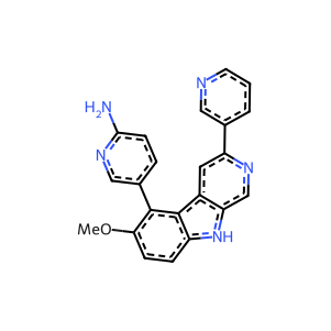 COc1ccc2[nH]c3cnc(-c4cccnc4)cc3c2c1-c1ccc(N)nc1